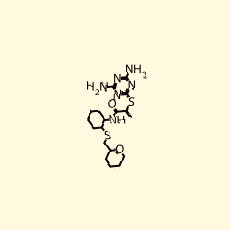 CC(Sc1nc(N)nc(N)n1)C(=O)NC1CCCCC1SCC1CCCCO1